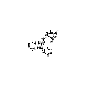 O=C(C=C(Nc1ccccc1)Nc1ccccc1)c1cnc(Cl)cc1Cl